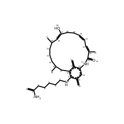 C=C(N)CCCCCNc1c2c(=C)c(cc1=C)NC(=O)/C(C)=C/C=C\CC/C(O)=C/C(C)CCCC(C)C2